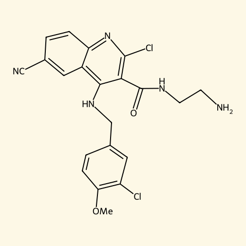 COc1ccc(CNc2c(C(=O)NCCN)c(Cl)nc3ccc(C#N)cc23)cc1Cl